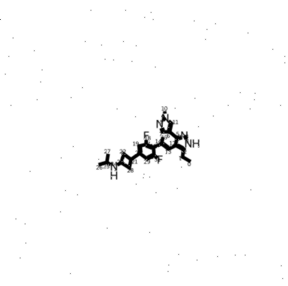 CCc1[nH]nc(-c2cnn(C)c2)c1/C=C(\C)c1c(F)cc(C2CC(NC(C)C)C2)cc1F